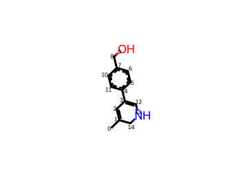 CC1=CC(c2ccc(CO)cc2)=CNC1